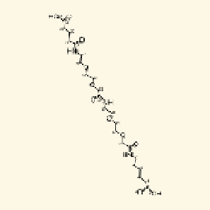 O=C(O)CCCCCNC(=O)COCCOCCNC(=O)COCCOCCNC(=O)CCCC(=O)O